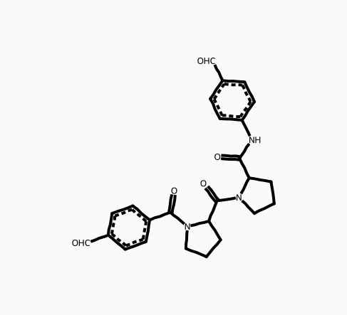 O=Cc1ccc(NC(=O)C2CCCN2C(=O)C2CCCN2C(=O)c2ccc(C=O)cc2)cc1